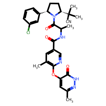 Cc1cc(Oc2ncc(C(=O)NC(C)C(=O)N3[C@H](c4cccc(Cl)c4)CC[C@@H]3C(C)(C)C#N)cc2C)c(=O)[nH]n1